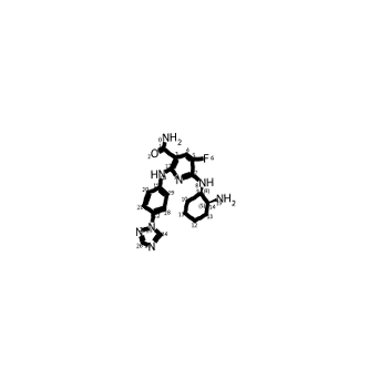 NC(=O)c1cc(F)c(N[C@@H]2CCCC[C@@H]2N)nc1Nc1ccc(-n2cncn2)cc1